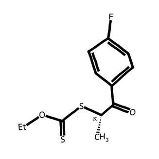 CCOC(=S)S[C@@H](C)C(=O)c1ccc(F)cc1